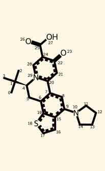 CC(C)(C)[C@@H]1Cc2c(cc(N3CCCC3)c3ccsc23)-c2cc(=O)c(C(=O)O)cn21